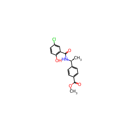 COC(=O)c1ccc([C@H](C)NC(=O)c2cc(Cl)ccc2O)cc1